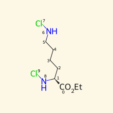 CCOC(=O)[C@H](CCCCNCl)NCl